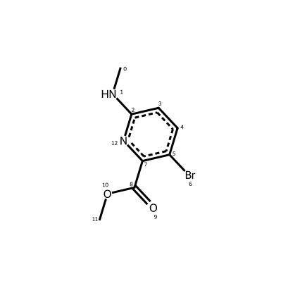 CNc1ccc(Br)c(C(=O)OC)n1